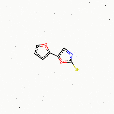 Sc1ncc(-c2ccco2)o1